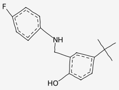 CC(C)(C)c1ccc(O)c(CNc2ccc(F)cc2)c1